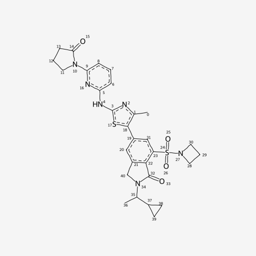 Cc1nc(Nc2cccc(N3CCCC3=O)n2)sc1-c1cc2c(c(S(=O)(=O)N3CCC3)c1)C(=O)N(C(C)C1CC1)C2